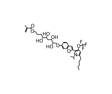 C=C(C)C(=O)OCCCC(O)C(O)CC(O)C(O)COc1ccc2cc(-c3c(OC(F)(F)F)cc(CCCCC)n3C(C)C)oc2c1